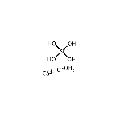 O.O[Si](O)(O)O.[Ca+2].[Cl-].[Cl-]